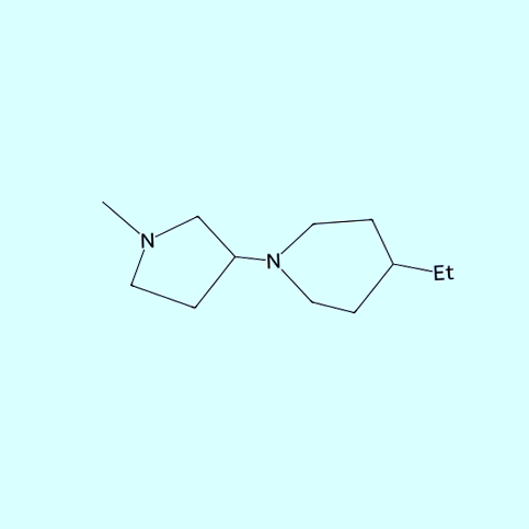 CCC1CCN(C2CCN(C)C2)CC1